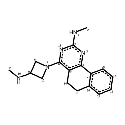 CNc1nc2c(c(N3CC(NC)C3)n1)CCc1ccccc1-2